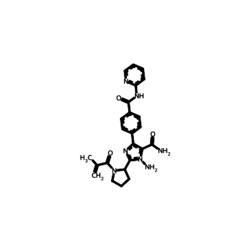 C=C(C)C(=O)N1CCCC1c1nc(-c2ccc(C(=O)Nc3ccccn3)cc2)c(C(N)=O)n1N